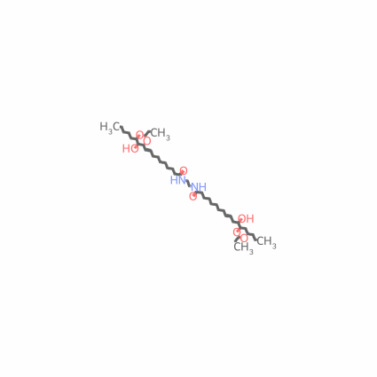 CCCCCC(OC(=O)CC)C(O)CC=CCCCCCCCC(=O)NCCNC(=O)CCCCCCCC=CCC(O)C(CCCCC)OC(=O)CC